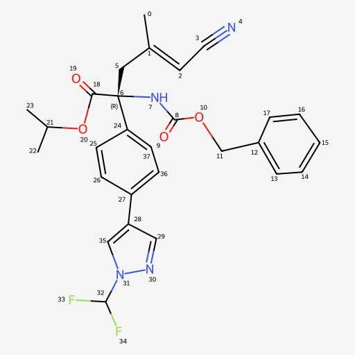 CC(=CC#N)C[C@](NC(=O)OCc1ccccc1)(C(=O)OC(C)C)c1ccc(-c2cnn(C(F)F)c2)cc1